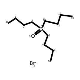 CCCC[S+](=O)(CCCC)CCCC.[Br-]